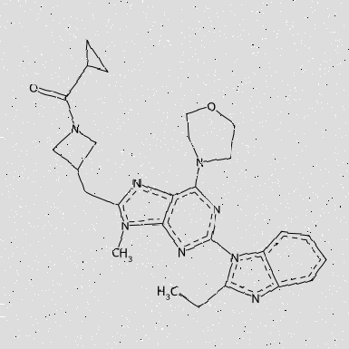 CCc1nc2ccccc2n1-c1nc(N2CCOCC2)c2nc(CC3CN(C(=O)C4CC4)C3)n(C)c2n1